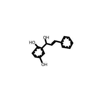 Oc1ccc(O)c(C(O)/C=C/c2ccccc2)c1